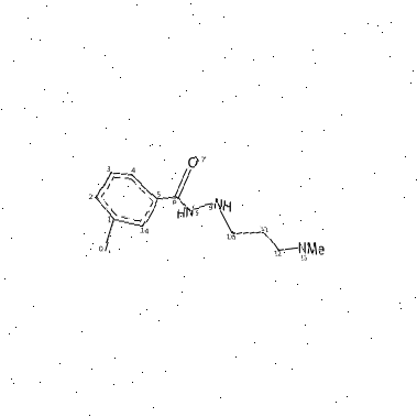 [CH2]c1cccc(C(=O)NNCCCNC)c1